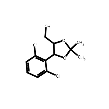 CC1(C)OC(CO)C(c2c(Cl)cccc2Cl)O1